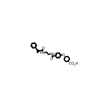 O=C(NCCNC(=O)C1CC1c1ccccc1)c1ccc(O[C@H]2CC[C@@H](C(=O)O)CC2)cc1